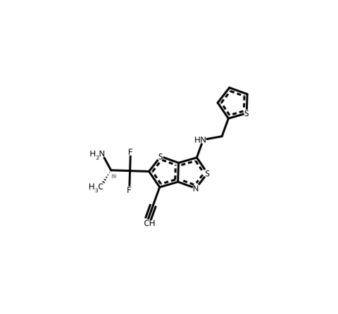 C#Cc1c(C(F)(F)[C@H](C)N)sc2c(NCc3cccs3)snc12